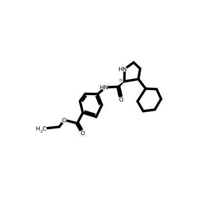 CCOC(=O)c1ccc(NC(=O)[C@H]2NCCC2C2CCCCC2)cc1